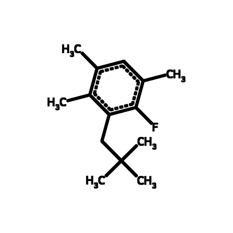 Cc1cc(C)c(F)c(CC(C)(C)C)c1C